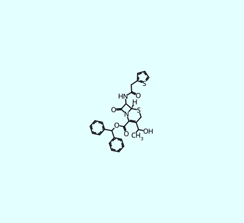 CC(O)C1=C(C(=O)OC(c2ccccc2)c2ccccc2)N2C(=O)C(NC(=O)Cc3cccs3)[C@@H]2SC1